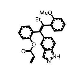 C=CC(=O)Oc1ccccc1/C(=C(\CC)c1ccccc1OC)c1ccc2[nH]ncc2c1